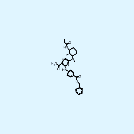 C=CC(=O)NC1CCC[C@@H](N(C)c2cnc(C(N)=O)c(Nc3ccc(C(=O)OCc4ccccc4)cc3)n2)[C@H]1C